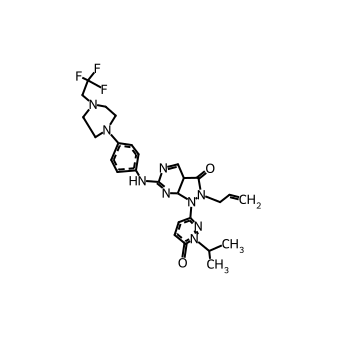 C=CCN1C(=O)C2C=NC(Nc3ccc(N4CCN(CC(F)(F)F)CC4)cc3)=NC2N1c1ccc(=O)n(C(C)C)n1